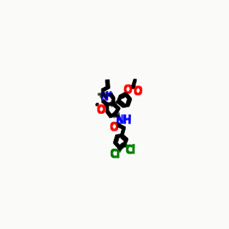 C=CC[N@@+]1(C)CC[C@@]2(c3cccc(OC(C)=O)c3)C[C@@H](NC(=O)Cc3ccc(Cl)c(Cl)c3)CCC2(OC)C1